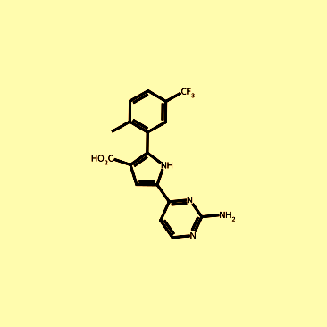 Cc1ccc(C(F)(F)F)cc1-c1[nH]c(-c2ccnc(N)n2)cc1C(=O)O